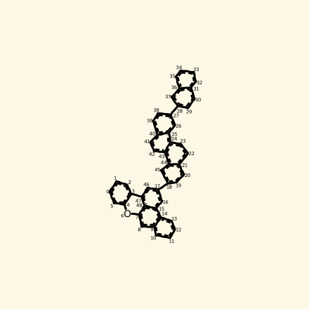 c1ccc2c(c1)Oc1cc3ccccc3c3cc(-c4ccc5ccc6c7cc(-c8ccc9ccccc9c8)ccc7ccc6c5c4)cc-2c13